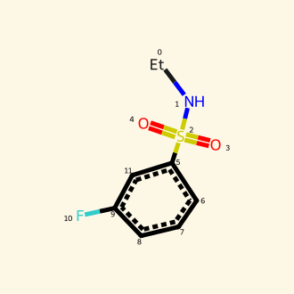 [CH2]CNS(=O)(=O)c1cccc(F)c1